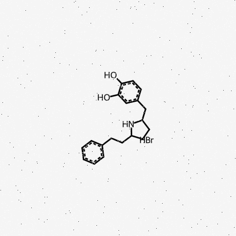 Br.Oc1ccc(CC2CCC(CCc3ccccc3)N2)cc1O